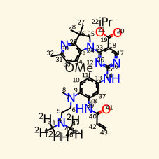 [2H]C([2H])([2H])N(CCN(C)c1cc(OC)c(Nc2ncc(C(=O)OC(C)C)c(N3CC(C)(C)c4nc(C)ccc43)n2)cc1NC(=O)C=C)C([2H])([2H])[2H]